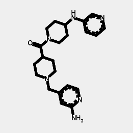 Nc1cc(CN2CCC(C(=O)N3CCC(Nc4cccnc4)CC3)CC2)ccn1